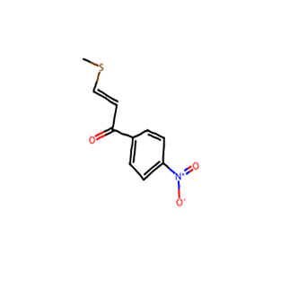 CSC=CC(=O)c1ccc([N+](=O)[O-])cc1